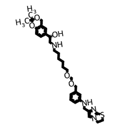 CC1(C)OCc2cc([C@@H](O)CNCCCCCCOCOCc3cccc(NCc4cn5c(n4)SCC5)c3)ccc2O1